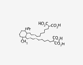 CCCC1CCCC(C)C(CCCCCCCCCC(C(=O)O)C(=O)O)C1CCCCCCCCCC(C(=O)O)C(=O)O